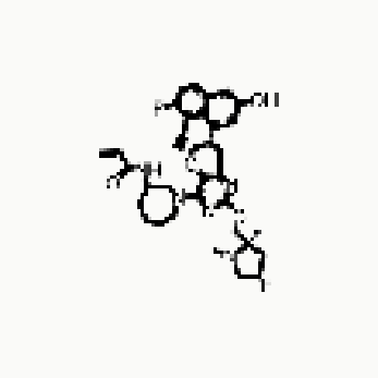 C#Cc1c(F)ccc2cc(O)cc([C@H]3COc4c(nc(OC[C@]5(C)C[C@@H](F)CN5C)nc4N4CCCCC(NC(=O)C=C)C4)C3)c12